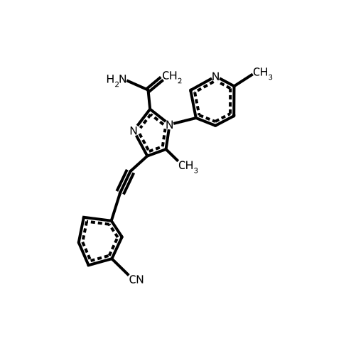 C=C(N)c1nc(C#Cc2cccc(C#N)c2)c(C)n1-c1ccc(C)nc1